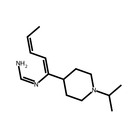 C\C=C/C=C(\N=C/N)C1CCN(C(C)C)CC1